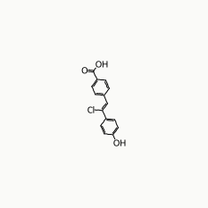 O=C(O)c1ccc(/C=C(\Cl)c2ccc(O)cc2)cc1